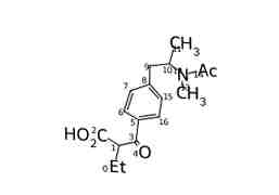 CCC(C(=O)O)C(=O)c1ccc(CC(C)N(C)C(C)=O)cc1